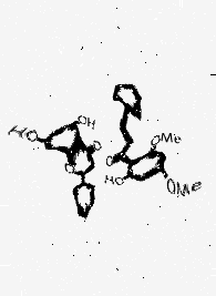 COc1cc(O)c(C(=O)C=Cc2ccccc2)c(OC)c1.O=c1cc(-c2ccccc2)oc2cc(O)cc(O)c12